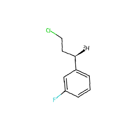 [2H][C@H](CCCl)c1cccc(F)c1